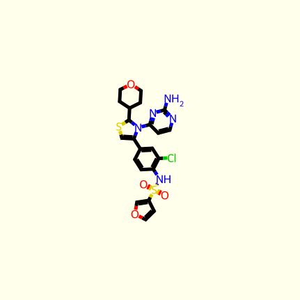 Nc1nccc(N2C(c3ccc(NS(=O)(=O)c4ccoc4)c(Cl)c3)=CSC2C2CCOCC2)n1